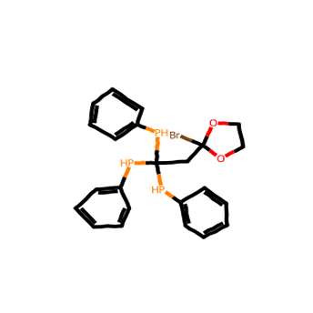 BrC1(CC(Pc2ccccc2)(Pc2ccccc2)Pc2ccccc2)OCCO1